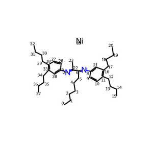 CCCCCCC(=N\c1ccc(CCCC)c(CCCC)c1)/C(C)=N/c1ccc(CCCC)c(CCCC)c1.[Ni]